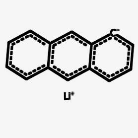 [Li+].[c-]1cccc2cc3ccccc3cc12